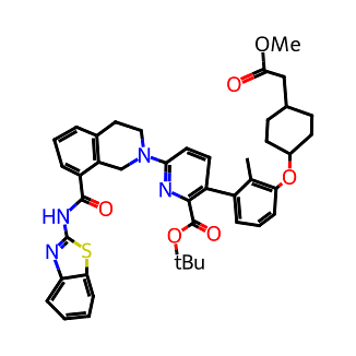 COC(=O)CC1CCC(Oc2cccc(-c3ccc(N4CCc5cccc(C(=O)Nc6nc7ccccc7s6)c5C4)nc3C(=O)OC(C)(C)C)c2C)CC1